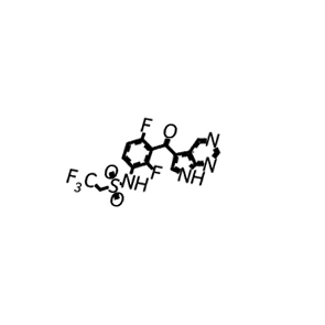 O=C(c1c(F)ccc(NS(=O)(=O)CC(F)(F)F)c1F)c1c[nH]c2ncncc12